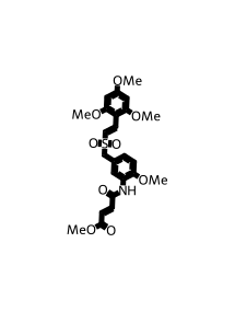 COC(=O)C=CC(=O)Nc1cc(CS(=O)(=O)C=Cc2c(OC)cc(OC)cc2OC)ccc1OC